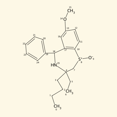 CCCCC1(CC)C[S+]([O-])c2ccc(OC)cc2C(c2ccccc2)N1